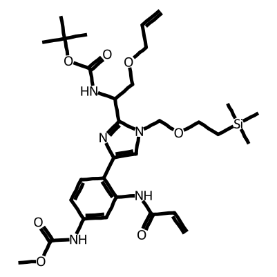 C=CCOCC(NC(=O)OC(C)(C)C)c1nc(-c2ccc(NC(=O)OC)cc2NC(=O)C=C)cn1COCC[Si](C)(C)C